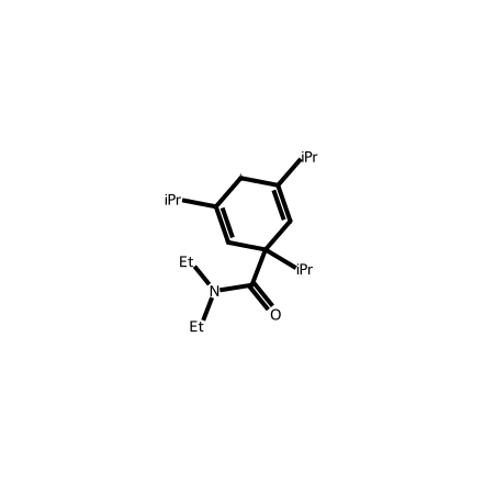 CCN(CC)C(=O)C1(C(C)C)C=C(C(C)C)[CH]C(C(C)C)=C1